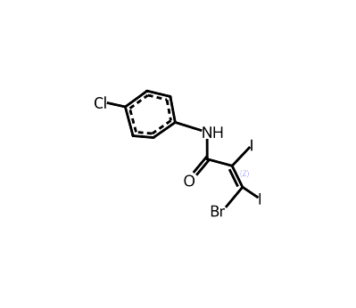 O=C(Nc1ccc(Cl)cc1)/C(I)=C(\Br)I